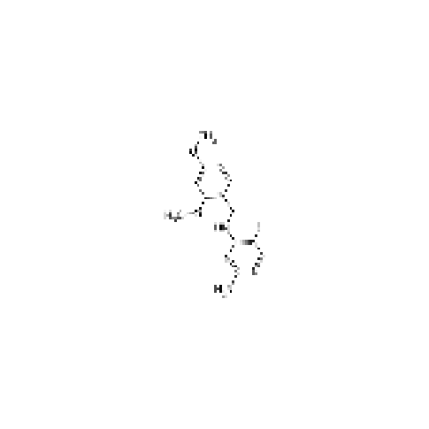 COc1ccc(CNc2nc(N)ncc2F)c(OC)c1